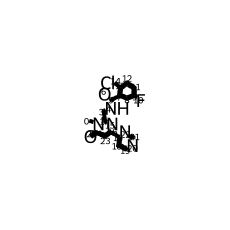 Cn1c(CNC(=O)c2cc(F)ccc2Cl)nc(-c2ccncn2)cc1=O